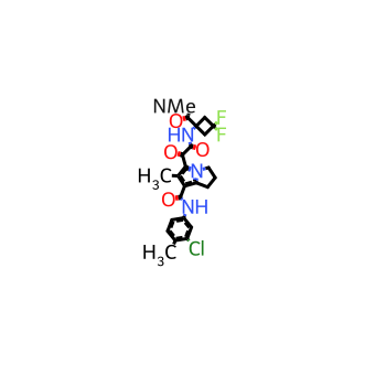 CNC(=O)C1(NC(=O)C(=O)c2c(C)c(C(=O)Nc3ccc(C)c(Cl)c3)c3n2CCC3)CC(F)(F)C1